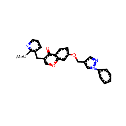 COc1ncccc1Cc1coc2cc(OCc3cnn(-c4ccccc4)c3)ccc2c1=O